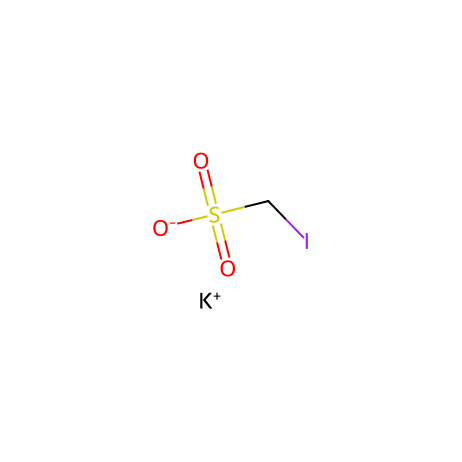 O=S(=O)([O-])CI.[K+]